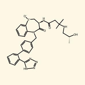 C[C@@H](O)CNC(C)(C)CC(=O)N[C@@H]1C[S+]([O-])c2ccccc2N(Cc2ccc(-c3ccccc3-c3nnn[nH]3)cc2)C1=O